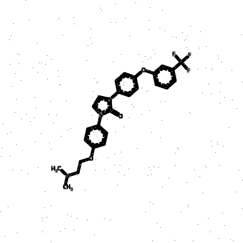 CN(C)CCOc1ccc(-n2ccn(-c3ccc(Oc4cccc(C(F)(F)F)c4)cc3)c2=O)cc1